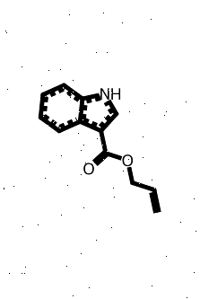 C=CCOC(=O)c1c[nH]c2ccccc12